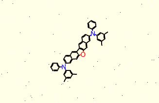 Cc1cc(C)cc(N(c2ccccc2)c2ccc3cc4c(cc3c2)oc2cc3cc(N(c5ccccc5)c5cc(C)cc(C)c5)ccc3cc24)c1